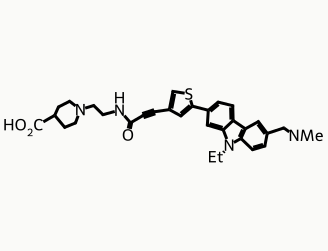 CCn1c2ccc(CNC)cc2c2ccc(-c3cc(C#CC(=O)NCCN4CCC(C(=O)O)CC4)cs3)cc21